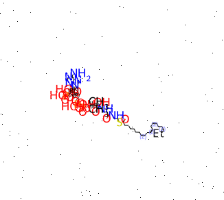 CC/C=C\C/C=C\C/C=C\C/C=C\CCCCCCC(=O)SCCNC(=O)CCNC(=O)[C@H](O)C(C)(C)COP(=O)(O)OP(=O)(O)OC[C@H]1O[C@@H](n2cnc3c(N)ncnc32)[C@H](O)[C@@H]1OP(=O)(O)O